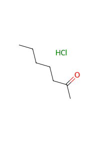 CCCCCC(C)=O.Cl